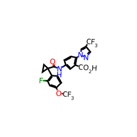 O=C(O)c1cc(NC(=O)C2(c3ccc(OC(F)(F)F)cc3F)CC2)ccc1-n1cc(C(F)(F)F)cn1